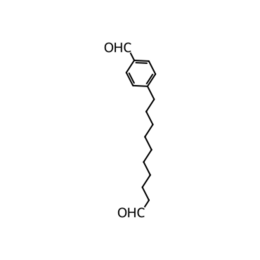 O=CCCCCCCCCCc1ccc(C=O)cc1